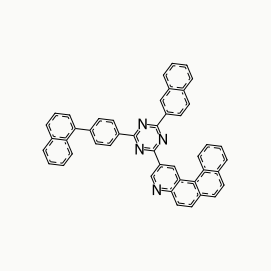 c1ccc2cc(-c3nc(-c4ccc(-c5cccc6ccccc56)cc4)nc(-c4cnc5ccc6ccc7ccccc7c6c5c4)n3)ccc2c1